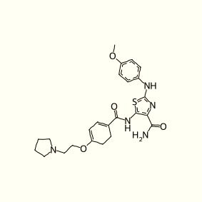 COc1ccc(Nc2nc(C(N)=O)c(NC(=O)C3=CC=C(OCCN4CCCC4)CC3)s2)cc1